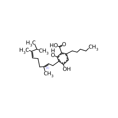 CCCCCc1cc(O)c(C/C=C(\C)CCC=C(C)C(C)C)c(O)c1C(=O)O